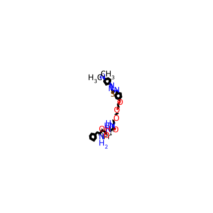 CC(C)C[C@H](NC(=O)[C@@H](O)[C@H](N)Cc1ccccc1)C(=O)NCCOCCOCCOc1ccc2nc(/N=N/c3ccc(N(C)C)cc3)sc2c1